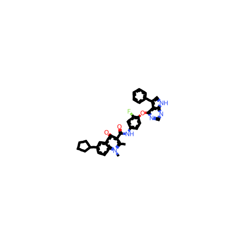 Cc1c(C(=O)Nc2ccc(Oc3ncnc4[nH]cc(-c5ccccc5)c34)c(F)c2)c(=O)c2cc(C3CCCC3)ccc2n1C